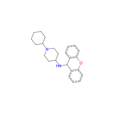 c1ccc2c(c1)Oc1ccccc1C2NC1CCN(C2CCCCC2)CC1